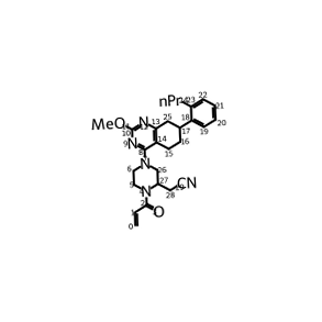 C=CC(=O)N1CCN(c2nc(OC)nc3c2CCC(c2ccccc2CCC)C3)CC1CC#N